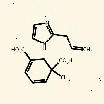 C=CCc1ncc[nH]1.CC1(C(=O)O)C=CC=C(C(=O)O)C1